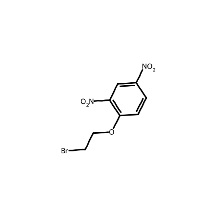 O=[N+]([O-])c1ccc(OCCBr)c([N+](=O)[O-])c1